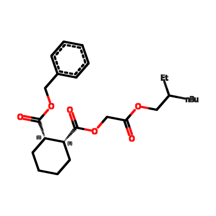 CCCCC(CC)COC(=O)COC(=O)[C@@H]1CCCC[C@@H]1C(=O)OCc1ccccc1